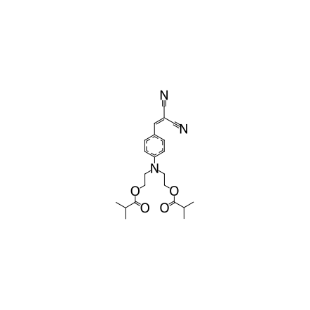 CC(C)C(=O)OCCN(CCOC(=O)C(C)C)c1ccc(C=C(C#N)C#N)cc1